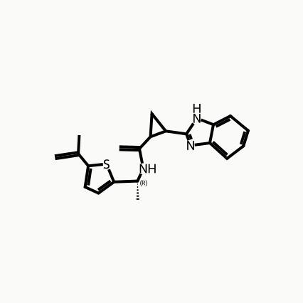 C=C(C)c1ccc([C@@H](C)NC(=C)C2CC2c2nc3ccccc3[nH]2)s1